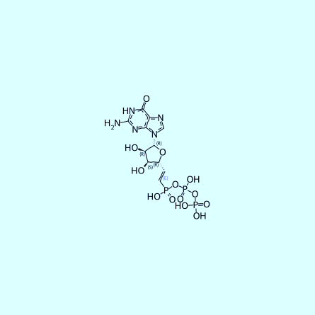 Nc1nc2c(ncn2[C@@H]2O[C@H](/C=C/P(=O)(O)OP(=O)(O)OP(=O)(O)O)[C@@H](O)[C@H]2O)c(=O)[nH]1